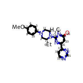 CC[C@@H]1CN(c2ccc(OC)cc2)CCN1c1nc(-c2ccncn2)cc(=O)n1C